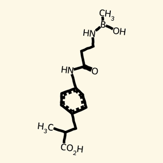 CB(O)NCCC(=O)Nc1ccc(CC(C)C(=O)O)cc1